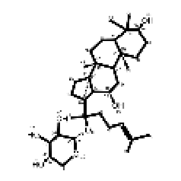 CC(C)=CCCC(C)(O[C@@H]1OC[C@@H](O)C(O)C1O)C1CC[C@]2(C)C1[C@H](O)CC1[C@@]3(C)CC[C@H](O)C(C)(C)C3CC[C@]12C